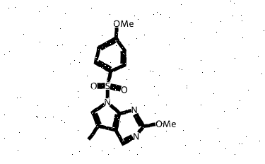 COc1ccc(S(=O)(=O)n2cc(C)c3cnc(OC)nc32)cc1